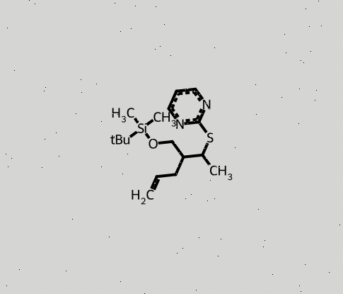 C=CCC(CO[Si](C)(C)C(C)(C)C)C(C)Sc1ncccn1